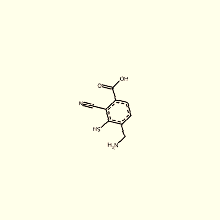 N#Cc1c(C(=O)O)ccc(CN)c1S